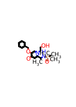 CC(N[S+]([O-])C(C)(C)C)c1cc(=O)c(OCc2ccccc2)cn1CCO